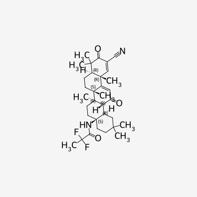 CC1(C)CC[C@]2(NC(=O)C(C)(F)F)CC[C@]3(C)[C@H](C(=O)C=C4[C@@]5(C)C=C(C#N)C(=O)C(C)(C)[C@@H]5CC[C@]43C)[C@H]2C1